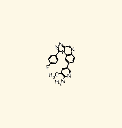 Cc1cc(-c2ccc3ncc4nnc(-c5ccc(F)cc5)n4c3c2)cnc1N